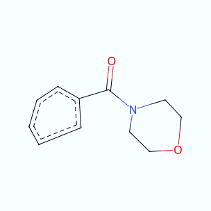 O=C(c1ccccc1)N1CCOCC1